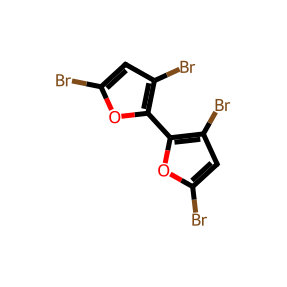 Brc1cc(Br)c(-c2oc(Br)cc2Br)o1